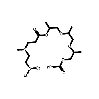 CCCC(=O)OCC(C)OCC(C)OCC(C)OC(=O)CCN(C)CCN(CC)CC